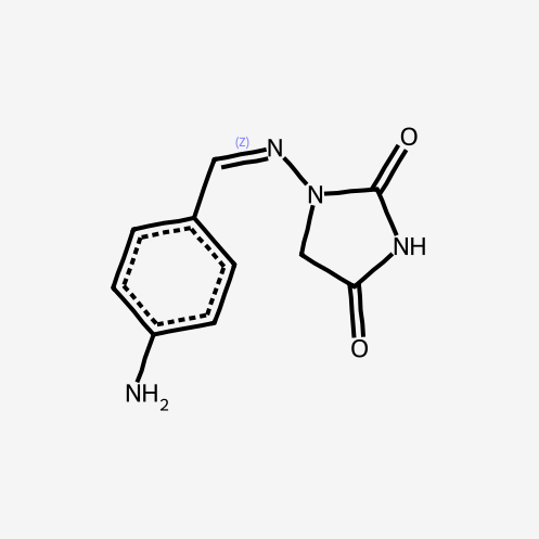 Nc1ccc(/C=N\N2CC(=O)NC2=O)cc1